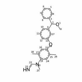 COC(c1ccccc1)c1cccc(Oc2cc(C)c(N(C)C=N)cc2C)c1